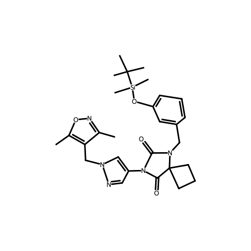 Cc1noc(C)c1Cn1cc(N2C(=O)N(Cc3cccc(O[Si](C)(C)C(C)(C)C)c3)C3(CCC3)C2=O)cn1